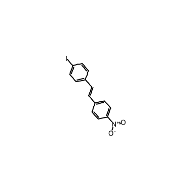 O=[N+]([O-])c1ccc(C=Cc2ccc(I)cc2)cc1